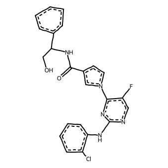 O=C(NC(CO)c1ccccc1)c1ccn(-c2nc(Nc3ccccc3Cl)ncc2F)c1